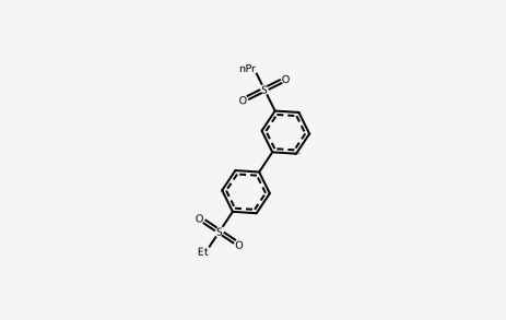 CCCS(=O)(=O)c1cc[c]c(-c2ccc(S(=O)(=O)CC)cc2)c1